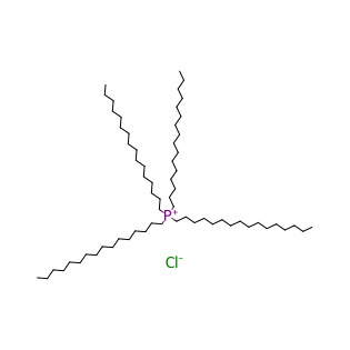 CCCCCCCCCCCCCCCC[P+](CCCCCCCCCCCCCCCC)(CCCCCCCCCCCCCCCC)CCCCCCCCCCCCCCCC.[Cl-]